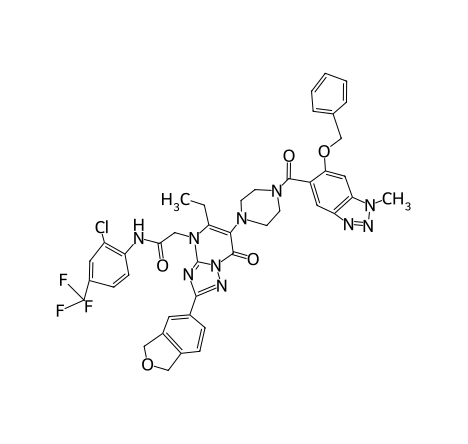 CCc1c(N2CCN(C(=O)c3cc4nnn(C)c4cc3OCc3ccccc3)CC2)c(=O)n2nc(-c3ccc4c(c3)COC4)nc2n1CC(=O)Nc1ccc(C(F)(F)F)cc1Cl